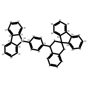 c1ccc2c(c1)CC1(CC2c2ccc(-n3c4ccccc4c4ccccc43)cc2)c2ccccc2-c2ccccc21